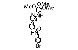 COc1cc(Nc2nccc(N3CCC[C@H](C(=O)NCc4ccc(Br)cc4)C3)n2)cc(OC)c1OC